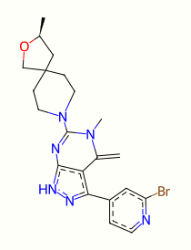 C=C1c2c(-c3ccnc(Br)c3)n[nH]c2N=C(N2CCC3(CC2)CO[C@@H](C)C3)N1C